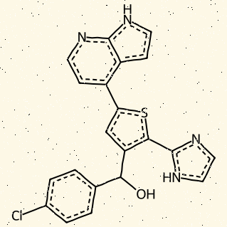 OC(c1ccc(Cl)cc1)c1cc(-c2ccnc3[nH]ccc23)sc1-c1ncc[nH]1